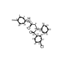 Cc1ccc(NC(=O)CN(C(=O)c2ccc(Cl)cc2)c2ccccc2)cc1